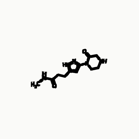 CNC(=O)CCc1cc(N2CCNCC2=O)n[nH]1